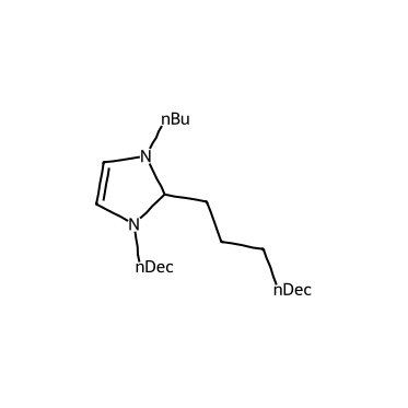 CCCCCCCCCCCCCC1N(CCCC)C=CN1CCCCCCCCCC